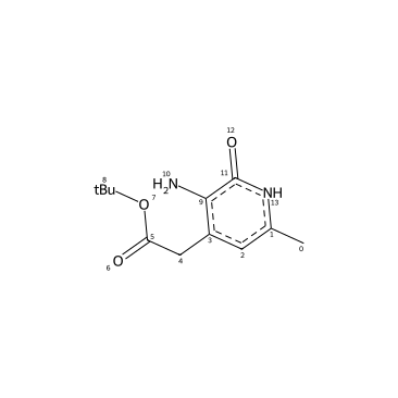 Cc1cc(CC(=O)OC(C)(C)C)c(N)c(=O)[nH]1